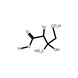 [2H]OC(=O)C([2H])C(O)(CC(=O)O)C(=O)O